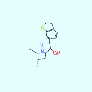 CCNC(CCF)C(O)c1ccc2c(c1)SCC2